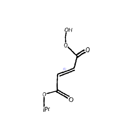 CC(C)OC(=O)/C=C/C(=O)OO